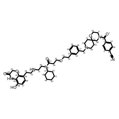 N#Cc1ccc(C(=O)N2CCOC3(CCN(Cc4cccc(CCOCCC(=O)N(CCNCCc5ccc(O)c6c5OCC(=O)N6)C5CCCCC5)c4)CC3)C2)cc1